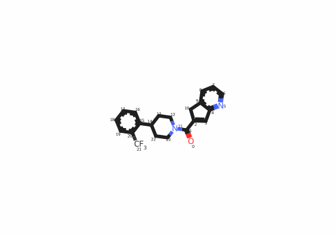 O=C(C1=Cc2ncccc2C1)N1CCC(c2ccccc2C(F)(F)F)CC1